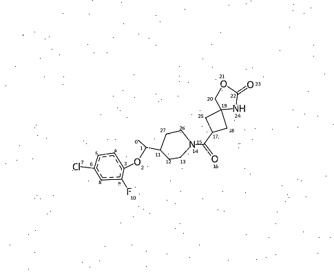 CC(Oc1ccc(Cl)cc1F)C1CCN(C(=O)C2CC3(COC(=O)N3)C2)CC1